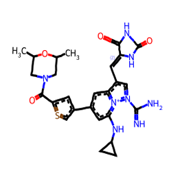 CC1CN(C(=O)c2cc(-c3cc(NC4CC4)[n+]4c(c3)c(/C=C3\NC(=O)NC3=O)cn4C(=N)N)cs2)CC(C)O1